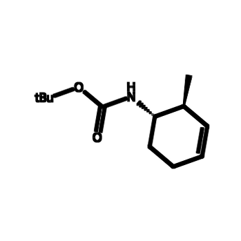 C[C@H]1C=CCC[C@@H]1NC(=O)OC(C)(C)C